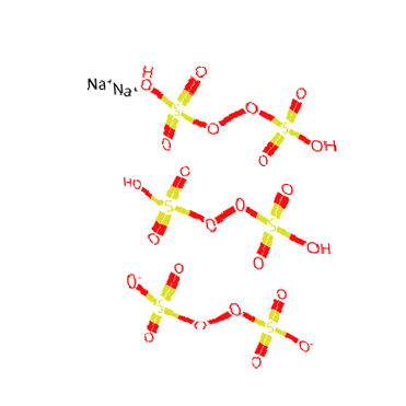 O=S(=O)(O)OOS(=O)(=O)O.O=S(=O)(O)OOS(=O)(=O)O.O=S(=O)([O-])OOS(=O)(=O)[O-].[Na+].[Na+]